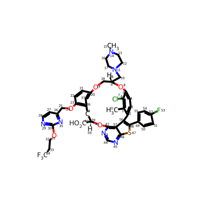 Cc1c2ccc(c1Cl)O[C@@H](CN1CCN(C)CC1)COc1ccc(OCc3ccnc(OCCC(F)(F)F)n3)c(c1)C[C@H](C(=O)O)Oc1ncnc3sc(-c4ccc(F)cc4)c-2c13